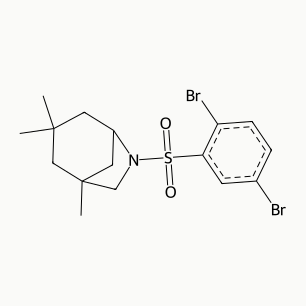 CC1(C)CC2CC(C)(CN2S(=O)(=O)c2cc(Br)ccc2Br)C1